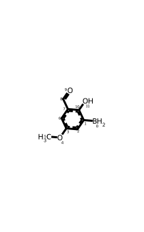 Bc1cc(OC)cc(C=O)c1O